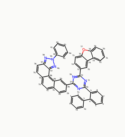 c1ccc(-c2ccccc2-c2nc(-c3ccc4oc5ccccc5c4c3)nc(-c3ccc4ccc5ccc6nn(-c7ccccc7)nc6c5c4c3)n2)cc1